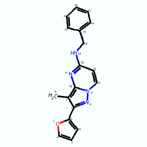 Cc1c(-c2ccco2)nn2ccc(NCc3ccccc3)nc12